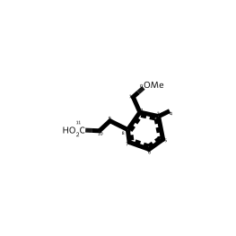 COCc1c(C)cccc1CCC(=O)O